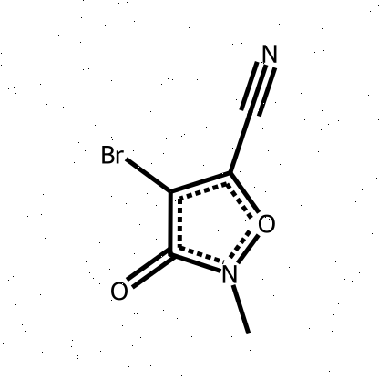 Cn1oc(C#N)c(Br)c1=O